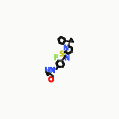 O=CC1(NCc2ccc(-c3nc4ccc(C5(c6ccccc6)CC5)nc4s3)c(F)c2)CC1